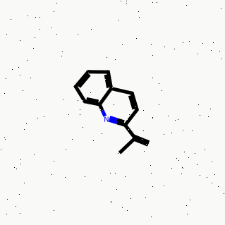 C=C(C)c1ccc2ccccc2n1